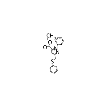 CCOC(=O)c1cc(CSc2ccccc2)nn1-c1ccccc1